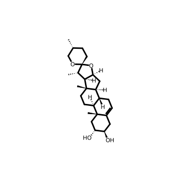 C[C@@H]1CC[C@@]2(OC1)O[C@H]1C[C@H]3[C@@H]4CC=C5C[C@@H](O)[C@H](O)C[C@]5(C)[C@H]4CC[C@]3(C)[C@H]1[C@@H]2C